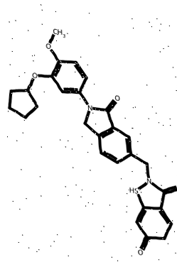 COc1ccc(N2Cc3ccc(CN4[SH]C5=CC(=O)CC=C5C4=O)cc3C2=O)cc1OC1CCCC1